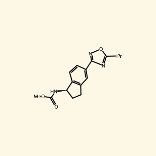 COC(=O)N[C@@H]1CCc2cc(-c3noc(C(C)C)n3)ccc21